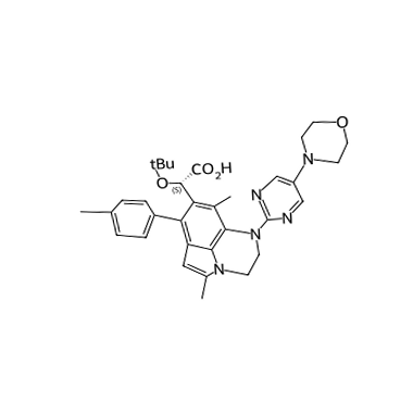 Cc1ccc(-c2c([C@H](OC(C)(C)C)C(=O)O)c(C)c3c4c2cc(C)n4CCN3c2ncc(N3CCOCC3)cn2)cc1